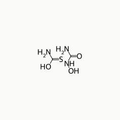 NC(=O)NO.NC(O)=S